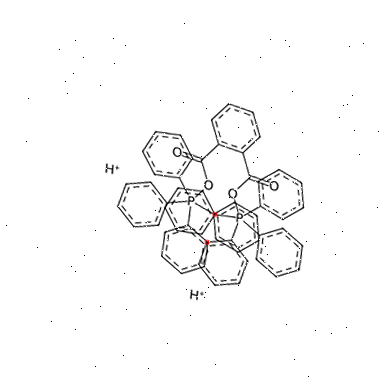 O=C(OP(c1ccccc1)(c1ccccc1)(c1ccccc1)c1ccccc1)c1ccccc1C(=O)OP(c1ccccc1)(c1ccccc1)(c1ccccc1)c1ccccc1.[H+].[H+]